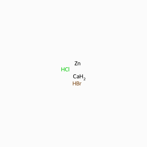 Br.Cl.[CaH2].[Zn]